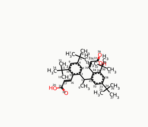 CC(c1cc(C(C)(C)C)cc(C(C)(C)C)c1C=CC(=O)O)c1cc(C(C)(C)C)cc(C(C)(C)C)c1C=CC(=O)O